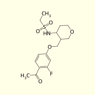 CCS(=O)(=O)NC1CCOCC1COc1ccc(C(C)=O)c(F)c1